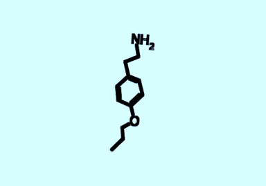 CCCOc1ccc(CCN)cc1